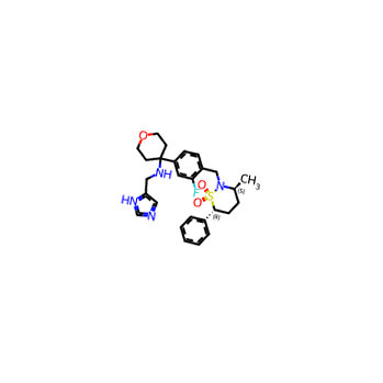 C[C@H]1CC[C@H](c2ccccc2)S(=O)(=O)N1Cc1ccc(C2(NCc3cnc[nH]3)CCOCC2)cc1F